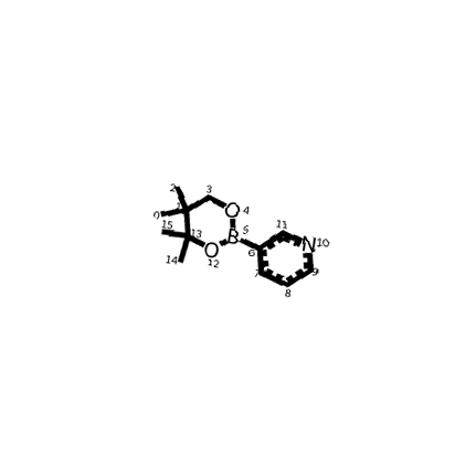 CC1(C)COB(c2cccnc2)OC1(C)C